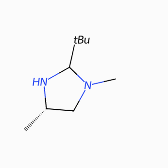 C[C@H]1CN(C)C(C(C)(C)C)N1